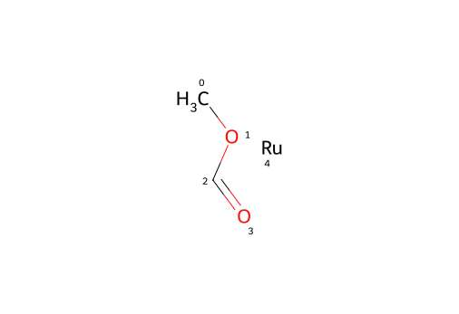 COC=O.[Ru]